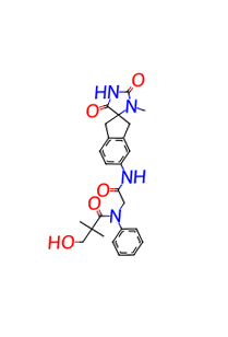 CN1C(=O)NC(=O)C12Cc1ccc(NC(=O)CN(C(=O)C(C)(C)CO)c3ccccc3)cc1C2